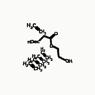 C=C.C=C.C=C.C=C.C=C.CCCCCCCCCCCC(=O)OCCO